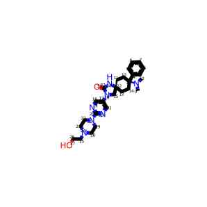 CN(C)[C@]1(c2ccccc2)CC[C@@]2(CC1)CN(c1cnc(N3CCN(CCO)CC3)nc1)C(=O)N2